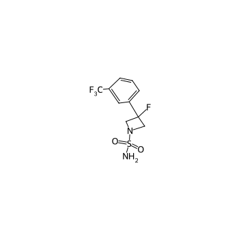 NS(=O)(=O)N1CC(F)(c2cccc(C(F)(F)F)c2)C1